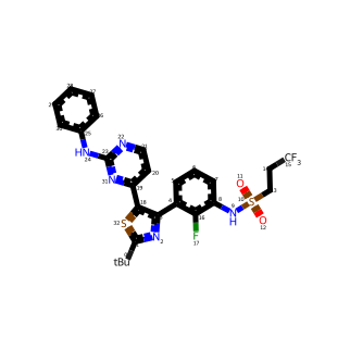 CC(C)(C)c1nc(-c2cccc(NS(=O)(=O)CCC(F)(F)F)c2F)c(-c2ccnc(Nc3ccccc3)n2)s1